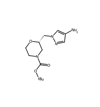 CC(C)(C)OC(=O)N1CCO[C@H](Cn2cc(N)cn2)C1